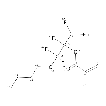 C=C(C)C(=O)OC(F)(C(F)F)C(F)(F)OCCCC